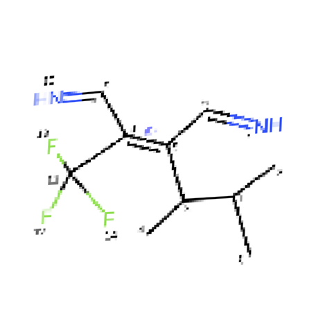 CC(C)C(C)/C(C=N)=C(/C=N)C(F)(F)F